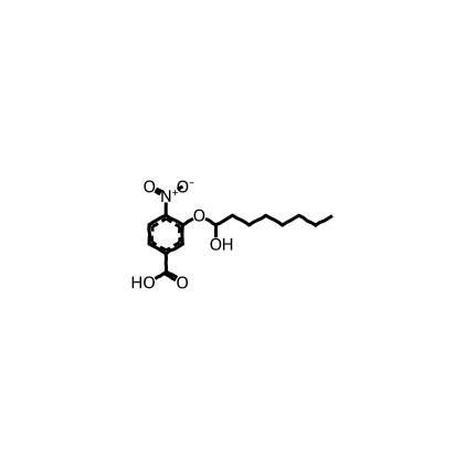 CCCCCCCC(O)Oc1cc(C(=O)O)ccc1[N+](=O)[O-]